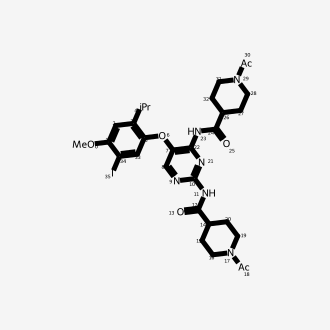 COc1cc(C(C)C)c(Oc2cnc(NC(=O)C3CCN(C(C)=O)CC3)nc2NC(=O)C2CCN(C(C)=O)CC2)cc1I